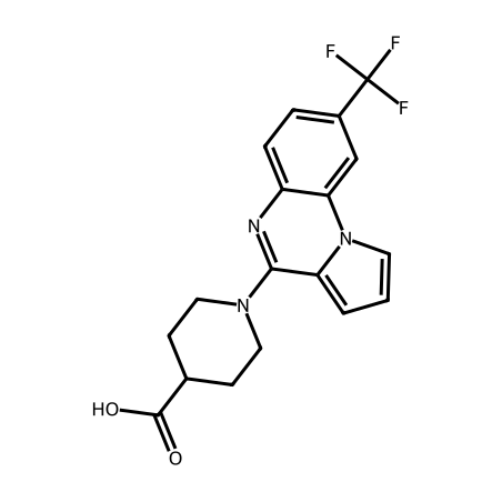 O=C(O)C1CCN(c2nc3ccc(C(F)(F)F)cc3n3cccc23)CC1